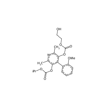 COc1ccccc1-c1c(OC(=O)OCCO)c(C)nc(C)c1OC(=O)OC(C)C